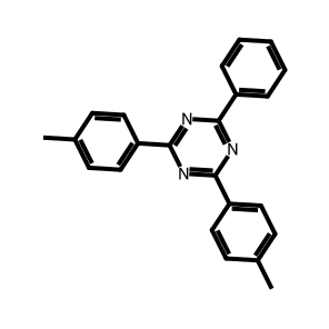 Cc1ccc(-c2nc(-c3ccccc3)nc(-c3ccc(C)cc3)n2)cc1